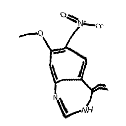 C=C1NC=Nc2cc(OC)c([N+](=O)[O-])cc21